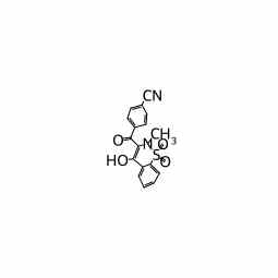 CN1C(C(=O)c2ccc(C#N)cc2)=C(O)c2ccccc2S1(=O)=O